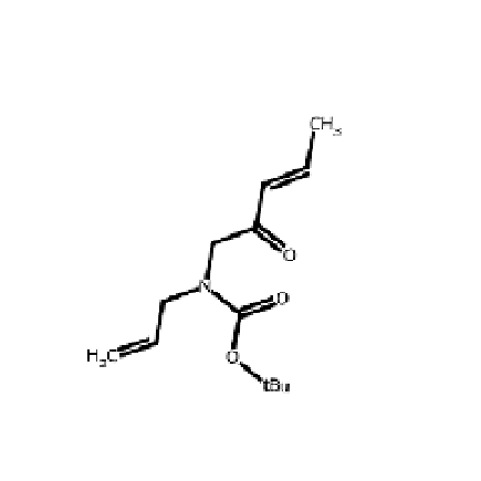 C=CCN(CC(=O)/C=C/C)C(=O)OC(C)(C)C